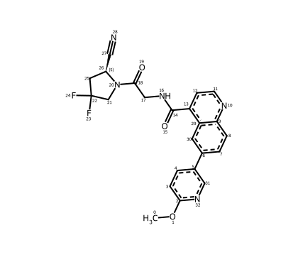 COc1ccc(-c2ccc3nccc(C(=O)NCC(=O)N4CC(F)(F)C[C@H]4C#N)c3c2)cn1